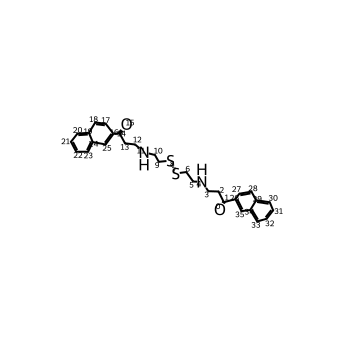 O=C(CCNCCSSCCNCCC(=O)c1ccc2ccccc2c1)c1ccc2ccccc2c1